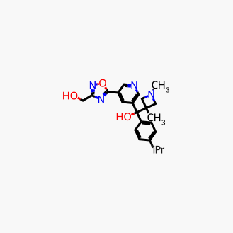 CC(C)c1ccc(C(O)(c2cncc(-c3nc(CO)no3)c2)C2(C)CN(C)C2)cc1